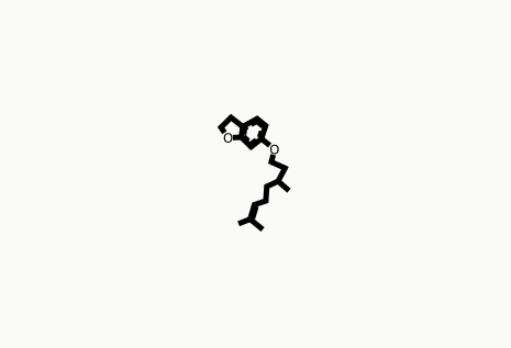 CC(C)=CCCC(C)CCOc1ccc2c(c1)OCC2